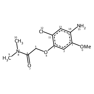 COc1cc(OCC(=O)N(C)C)c(Cl)cc1N